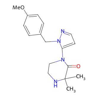 COc1ccc(Cn2nccc2N2CCNC(C)(C)C2=O)cc1